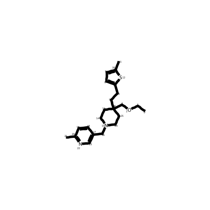 CCOCC1(CCc2ccc(C)s2)CCN(Cc2ccc(C)nc2)CC1